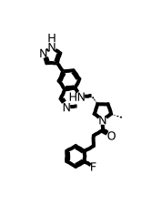 C/N=C\c1cc(-c2cn[nH]c2)ccc1NC[C@@H]1C[C@H](C)N(C(=O)CCc2ccccc2F)C1